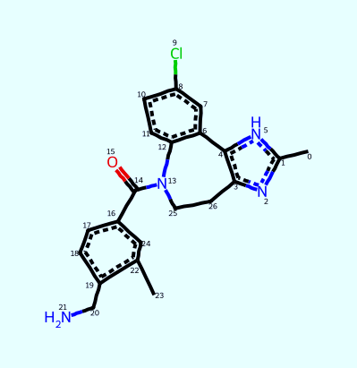 Cc1nc2c([nH]1)-c1cc(Cl)ccc1N(C(=O)c1ccc(CN)c(C)c1)CC2